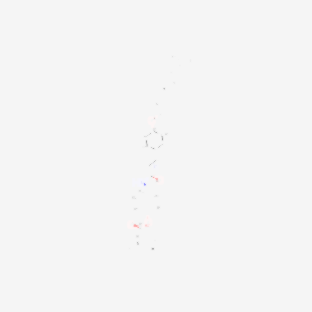 CCCCCCCCOc1ccc(/C=C/C(=O)N[C@H]2CC[C@H](OC(=O)C(C)CC)CC2)cc1